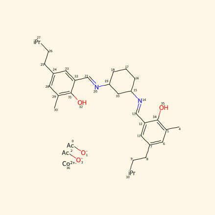 CC(=O)[O-].CC(=O)[O-].Cc1cc(CCC(C)C)cc(C=NC2CCCC(N=Cc3cc(CCC(C)C)cc(C)c3O)C2)c1O.[Co+2]